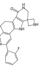 O=C1NCC2(CNC2)c2[nH]c3c(c21)CCc1cnc(-c2ccccc2F)cc1-3